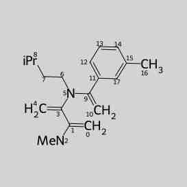 C=C(NC)C(=C)N(CCC(C)C)C(=C)c1cccc(C)c1